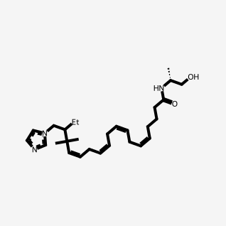 CCC(Cn1ccnc1)C(C)(C)/C=C\C/C=C\C/C=C\C/C=C\CCCC(=O)N[C@H](C)CO